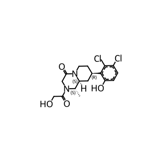 C[C@H]1[C@@H]2C[C@H](c3c(O)ccc(Cl)c3Cl)CCN2C(=O)CN1C(=O)CO